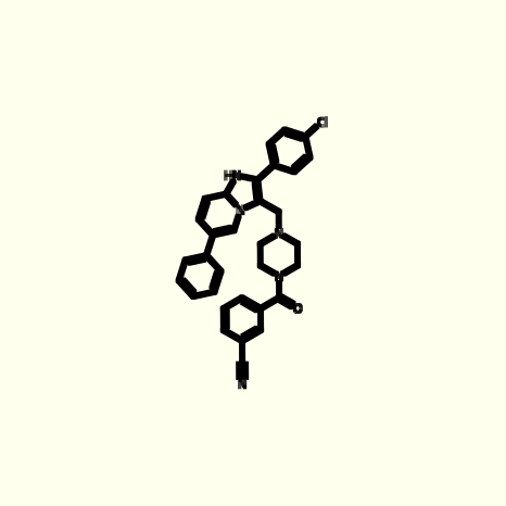 N#Cc1cccc(C(=O)N2CCN(CC3=C(c4ccc(Cl)cc4)NC4C=CC(c5ccccc5)=CN34)CC2)c1